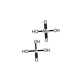 O=P(O)(O)O.[O]=[Mn](=[O])([OH])[OH]